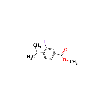 COC(=O)c1ccc(C(C)C)c(I)c1